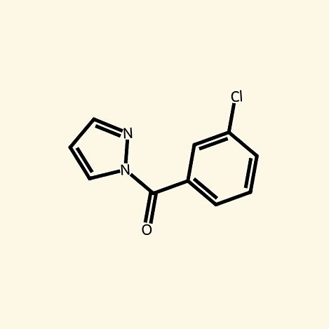 O=C(c1cccc(Cl)c1)n1cccn1